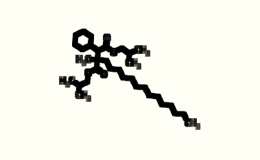 CCCCCCCCCCCCCCC(C)(C(=O)OCC(C)C)C(C(=O)OCC(C)C)C1CCCCC1